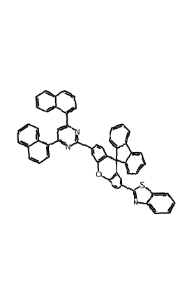 c1ccc2c(c1)-c1ccccc1C21c2ccc(-c3nc(-c4cccc5ccccc45)cc(-c4cccc5ccccc45)n3)cc2Oc2ccc(-c3nc4ccccc4s3)cc21